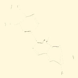 Cc1ccc(-c2ccc3cc(F)c(F)cc3n2)cc1C